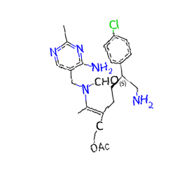 CC(=O)OCCC(CC[C@H](CN)c1ccc(Cl)cc1)=C(C)N(C=O)Cc1cnc(C)nc1N